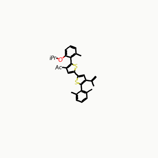 C=C(C)c1cc(-c2cc(C(C)=O)c(-c3c(C)cccc3OC(C)C)s2)sc1-c1c(C)cccc1C